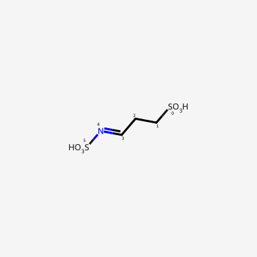 O=S(=O)(O)CCC=NS(=O)(=O)O